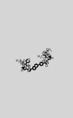 COC(=O)N[C@H](C(=O)N1[C@@H]2C[C@@H]2C[C@H]1c1nc(Cl)c(-c2ccc(-c3ccc4cc(-c5cnc(C6C[C@H]7C[C@H]7N6C(=O)[C@@H](NC(=O)OC)C6CCOCC6)[nH]5)ccc4c3)cc2)[nH]1)C(C)C